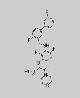 CC(C(Oc1ccc(F)c(NCc2cc(-c3cccc(F)c3)ccc2F)c1F)C(=O)O)N1CCOCC1